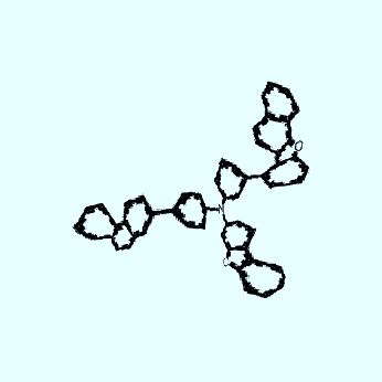 c1cc(-c2cccc3oc4c5ccccc5ccc4c23)cc(N(c2ccc(-c3ccc4c(ccc5ccccc54)c3)cc2)c2ccc3c(c2)oc2ccccc23)c1